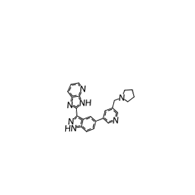 c1cnc2[nH]c(-c3n[nH]c4ccc(-c5cncc(CN6CCCC6)c5)cc34)nc2c1